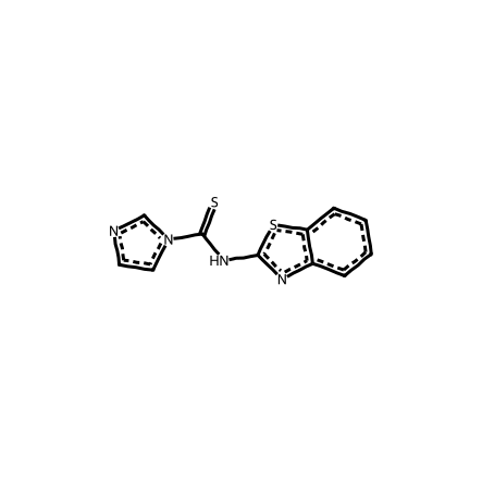 S=C(Nc1nc2ccccc2s1)n1ccnc1